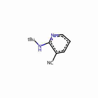 CC(C)(C)Nc1ncccc1C#N